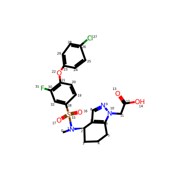 CN([C@@H]1CCCc2c1cnn2CC(=O)O)S(=O)(=O)c1ccc(Oc2ccc(Cl)cc2)c(F)c1